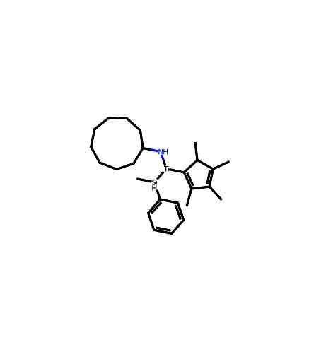 CC1=C(C)C(C)[C]([Ti]([NH]C2CCCCCCCC2)[SiH](C)c2ccccc2)=C1C